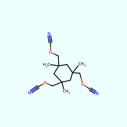 CC1(COC#N)CC(C)(COC#N)CC(C)(COC#N)C1